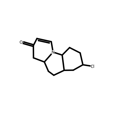 O=C1C=CN2C(CCC3CC(Cl)CCC32)C1